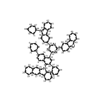 c1ccc(-c2ccc3c(-n4c5ccccc5c5cc6ccccc6cc54)c(-c4ccccc4)cc(-c4nc(-c5ccc6oc7ccccc7c6c5)nc(-c5ccc6c(c5)c5ccccc5n6-c5ccccc5)n4)c3c2)cc1